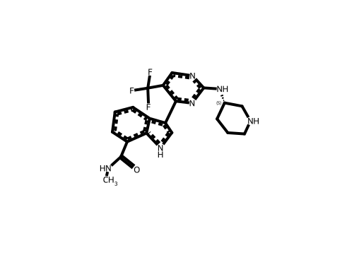 CNC(=O)c1cccc2c(-c3nc(N[C@H]4CCCNC4)ncc3C(F)(F)F)c[nH]c12